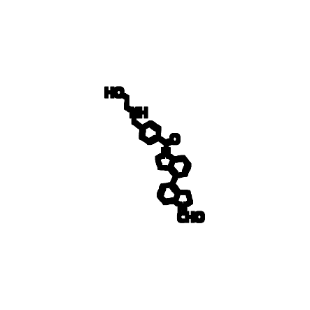 O=CN1CCc2c(-c3cccc4c3CCN4C(=O)c3ccc(CNCCO)cc3)cccc21